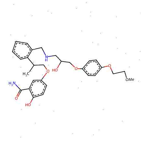 COCCOc1ccc(OCC(O)CNCc2ccccc2C(C)COc2ccc(O)c(C(N)=O)c2)cc1